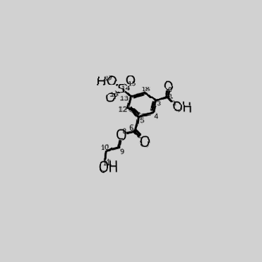 O=C(O)c1cc(C(=O)OCCO)cc(S(=O)(=O)O)c1